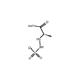 COC(=O)[C@@H](C)NNS(=O)(=O)Cl